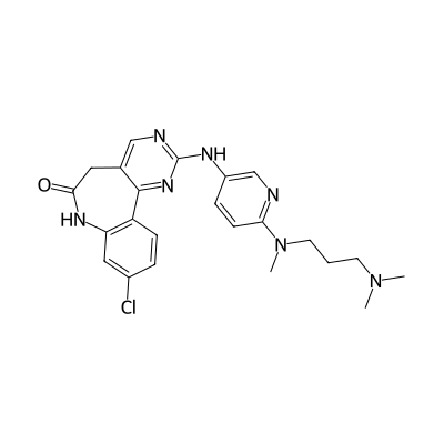 CN(C)CCCN(C)c1ccc(Nc2ncc3c(n2)-c2ccc(Cl)cc2NC(=O)C3)cn1